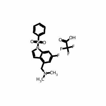 CN(C)Cc1cc(F)cc2c1ccn2S(=O)(=O)c1ccccc1.O=C(O)C(F)(F)F